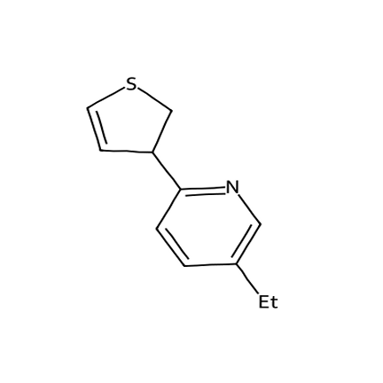 CCc1ccc(C2C=CSC2)nc1